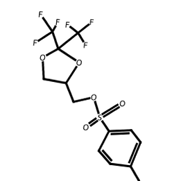 Cc1ccc(S(=O)(=O)OCC2COC(C(F)(F)F)(C(F)(F)F)O2)cc1